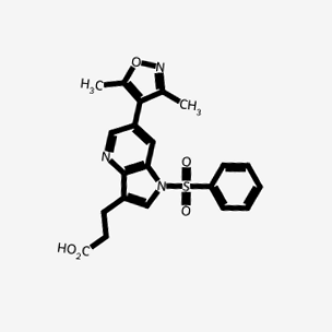 Cc1noc(C)c1-c1cnc2c(CCC(=O)O)cn(S(=O)(=O)c3ccccc3)c2c1